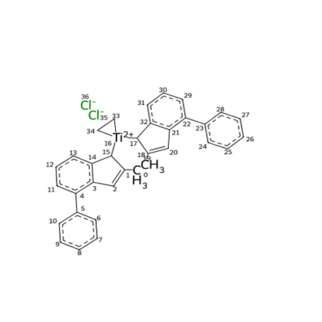 CC1=Cc2c(-c3ccccc3)cccc2[CH]1[Ti+2]1([CH]2C(C)=Cc3c(-c4ccccc4)cccc32)[CH2][CH2]1.[Cl-].[Cl-]